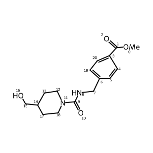 COC(=O)c1ccc(CNC(=O)N2CCC(CO)CC2)cc1